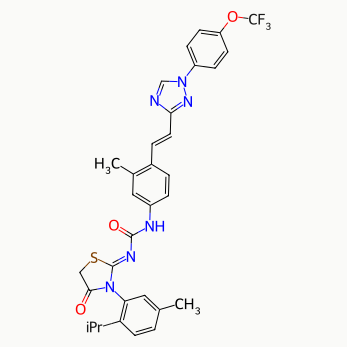 Cc1ccc(C(C)C)c(N2C(=O)CSC2=NC(=O)Nc2ccc(C=Cc3ncn(-c4ccc(OC(F)(F)F)cc4)n3)c(C)c2)c1